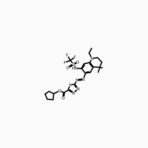 CCN1CCC(C)(C)c2cc(N=Nc3nnc(C(=O)OC4CCCC4)s3)c(NS(=O)(=O)C(F)(F)F)cc21